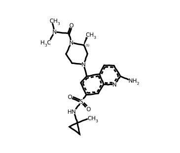 C[C@H]1CN(c2cc(S(=O)(=O)NC3(C)CC3)cc3nc(N)ccc23)CCN1C(=O)N(C)C